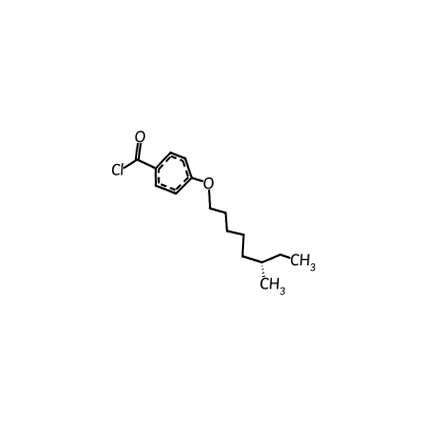 CC[C@H](C)CCCCCOc1ccc(C(=O)Cl)cc1